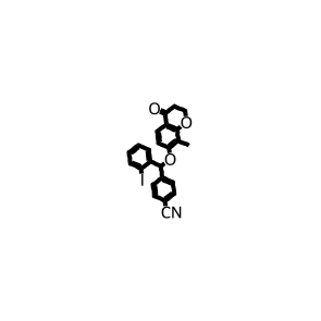 Cc1c(OC(c2ccc(C#N)cc2)c2ccccc2I)ccc2c1OCCC2=O